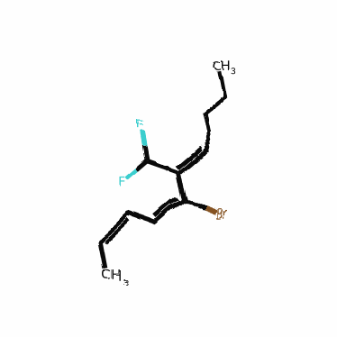 C\C=C/C=C(Br)\C(=C\CCC)C(F)F